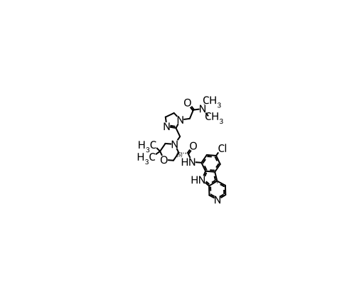 CN(C)C(=O)CN1CCN=C1CN1CC(C)(C)OC[C@H]1C(=O)Nc1cc(Cl)cc2c1[nH]c1cnccc12